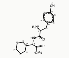 COC(=O)[C@@H](NC(=O)[C@@H](N)Cc1ccc(O)cc1)C1CCCCC1